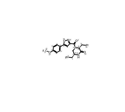 CC(C)C[C@H]1CN(C(=O)c2cc(-c3ccc(OC(F)(F)F)cc3)on2)[C@@H](CC(C)C)C(=O)N1